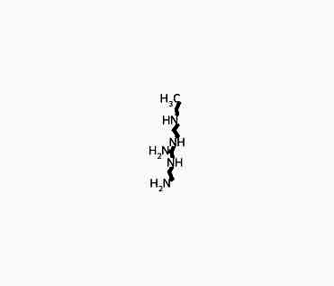 CCCCNCCCNCC(N)CNCCCN